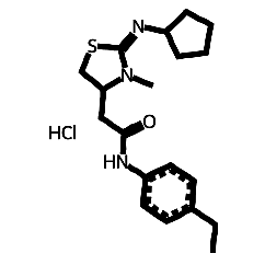 CCc1ccc(NC(=O)CC2CSC(=NC3CCCC3)N2C)cc1.Cl